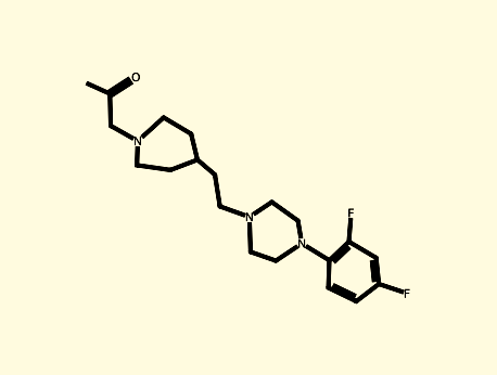 CC(=O)CN1CCC(CCN2CCN(c3ccc(F)cc3F)CC2)CC1